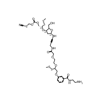 CSSC(COc1cccc(C(=O)NCCN)c1)OCCOCC(=O)NCC#CB[C@H]1C[C@@H](O[C@H](COC(=O)OCSC#N)SSC)C(CO)O1